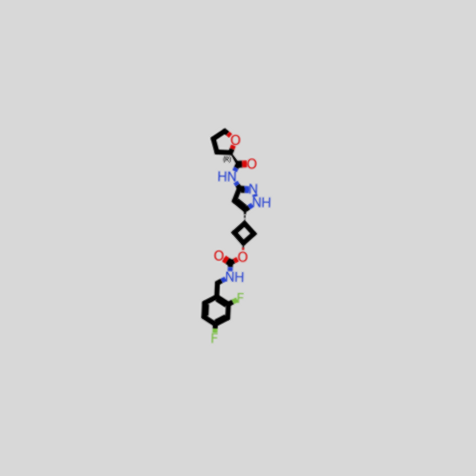 O=C(NCc1ccc(F)cc1F)O[C@H]1C[C@@H](c2cc(NC(=O)[C@H]3CCCO3)n[nH]2)C1